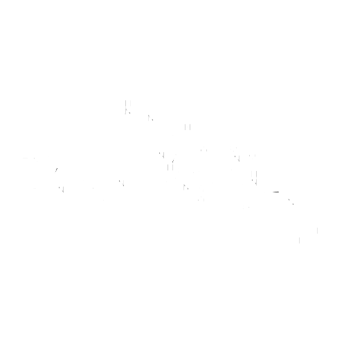 Cc1ccccc1[C@@H]1COCCN1C1CC2(CCN(c3ccc(C(=O)NS(=O)(=O)c4cc5c(c([N+](=O)[O-])c4)N[C@@H](CN4CCC(F)(F)CC4)CO5)c(N4c5cc6cc[nH]c6nc5O[C@H]5COCC[C@@H]54)c3)CC2)C1